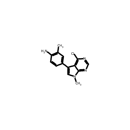 Cc1cc(-c2cn(C)c3ncnc(Cl)c23)ccc1N